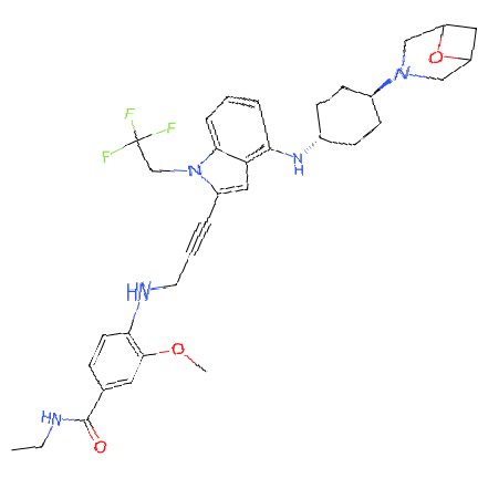 CCNC(=O)c1ccc(NCC#Cc2cc3c(N[C@H]4CC[C@H](N5CC6CC(C5)O6)CC4)cccc3n2CC(F)(F)F)c(OC)c1